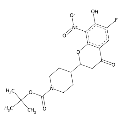 CC(C)(C)OC(=O)N1CCC(C2CC(=O)c3cc(F)c(O)c([N+](=O)[O-])c3O2)CC1